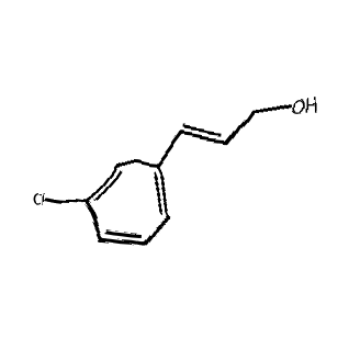 OC/C=C/c1cccc(Cl)c1